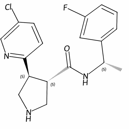 C[C@H](NC(=O)[C@@H]1CNC[C@H]1c1ccc(Cl)cn1)c1cccc(F)c1